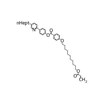 C=CC(=O)OCCCCCCCCCCCOc1ccc(C(=O)Oc2ccc(-c3ccc(CCCCCCC)cn3)cc2)cc1